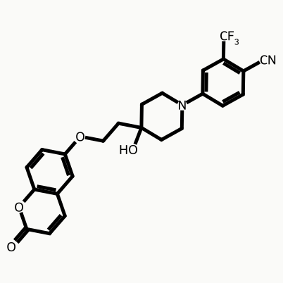 N#Cc1ccc(N2CCC(O)(CCOc3ccc4oc(=O)ccc4c3)CC2)cc1C(F)(F)F